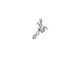 CCNc1ccc(-c2nn(C3CCC(N4CCN(C)CC4)CC3)c3ncnc(N)c23)cc1F